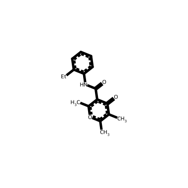 CCc1ccccc1NC(=O)c1c(C)oc(C)c(C)c1=O